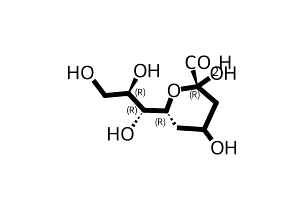 O=C(O)[C@@]1(O)CC(O)C[C@H]([C@H](O)[C@H](O)CO)O1